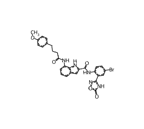 COc1ccc(CCCC(=O)Nc2cccc3cc(C(=O)Nc4ccc(Br)cc4-c4noc(=O)[nH]4)[nH]c23)cc1